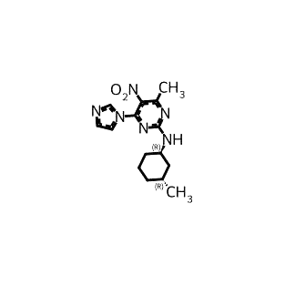 Cc1nc(N[C@@H]2CCC[C@@H](C)C2)nc(-n2ccnc2)c1[N+](=O)[O-]